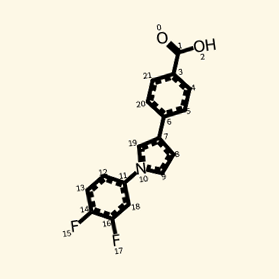 O=C(O)c1ccc(-c2ccn(-c3ccc(F)c(F)c3)c2)cc1